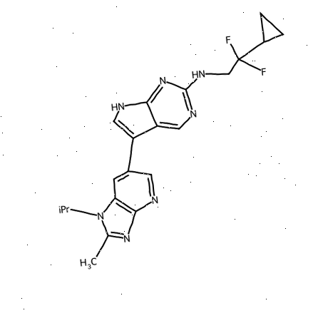 Cc1nc2ncc(-c3c[nH]c4nc(NCC(F)(F)C5CC5)ncc34)cc2n1C(C)C